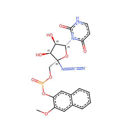 COc1cc2ccccc2cc1O[P](=O)OC[C@@]1(N=[N+]=[N-])O[C@@H](n2c(=O)cc[nH]c2=O)[C@H](O)[C@@H]1O